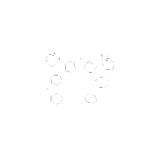 CC1(C)c2ccccc2-c2ccc(-c3cccnc3-c3ccc4c(c3)C(C)(C)c3cc(-c5ncccc5-c5ccc6c(c5)C(C)(C)c5ccccc5-6)ccc3-4)cc21